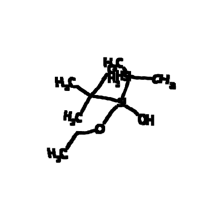 CCO[Si](O)([SiH](C)C)C(C)(C)C